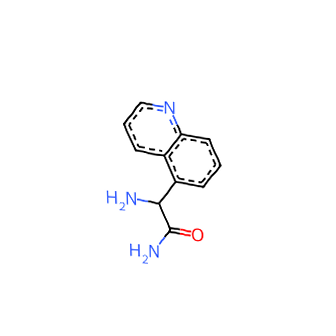 NC(=O)C(N)c1cccc2ncccc12